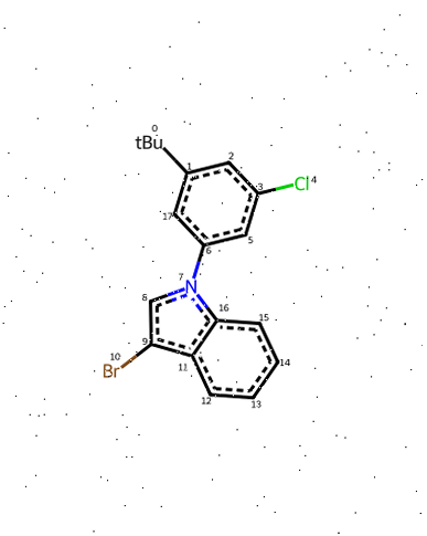 CC(C)(C)c1cc(Cl)cc(-n2cc(Br)c3ccccc32)c1